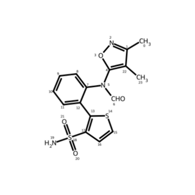 Cc1noc(N(C=O)c2ccccc2-c2sccc2S(N)(=O)=O)c1C